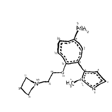 Cn1nccc1-c1cc([AsH2])ccc1OCCN1CCC1